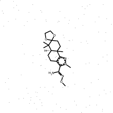 CO/N=C(\N)c1c2c(nn1C)C1(C)CCC3(OCCO3)C(C)(C)[C@@H]1CC2